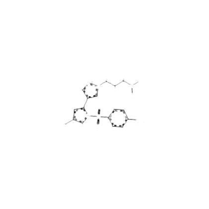 Cc1ccc(S(=O)(=O)n2cc(Cl)cc2-c2cnn(CCCN(C)C)c2)cc1